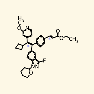 CCOC(=O)/C=C/c1ccc(/C(=C(\c2ccnc(OC)c2)C2CCC2)c2ccc3c(c2)c(F)nn3C2CCCCO2)cc1